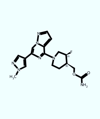 Cn1cc(-c2cn3nccc3c(N3CC[C@H](COC(N)=O)[C@H](F)C3)n2)cn1